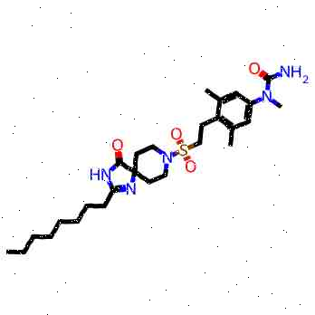 CCCCCCCCC1=NC2(CCN(S(=O)(=O)CCc3c(C)cc(N(C)C(N)=O)cc3C)CC2)C(=O)N1